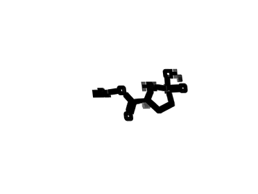 CCCCOC(=O)[C@@H]1CCP(C)(=O)N1